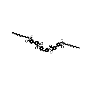 CCCCCCCCCCCCN1C(=O)c2ccc(-c3ccc4c(c3)C(=O)N(c3ccc(Cc5ccc(N6C(=O)c7ccc(-c8ccc9c(c8)C(=O)N(CCCCCCCCCCCC)C9=O)cc7C6=O)cc5)cc3)C4=O)cc2C1=O